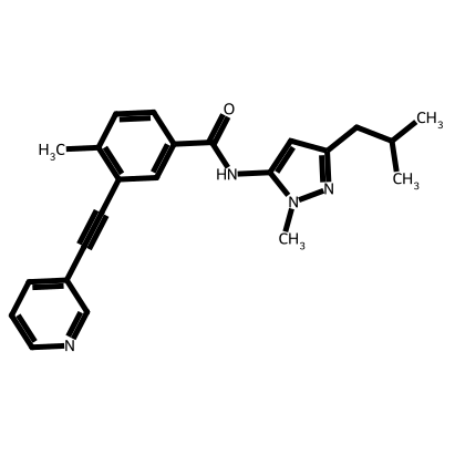 Cc1ccc(C(=O)Nc2cc(CC(C)C)nn2C)cc1C#Cc1cccnc1